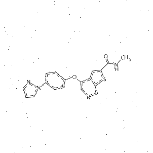 CNC(=O)c1cc2c(Oc3ccc(-n4cccn4)cc3)cncc2s1